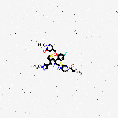 C=CC(=O)N1CCc2nc(-c3nc(-c4cnn(C)c4)c4ccsc4c3-c3ccc(F)cc3OCC3CCN(C)C(=O)C3)sc2C1